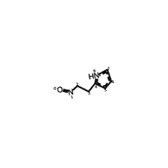 O=NCCc1ccc[nH]1